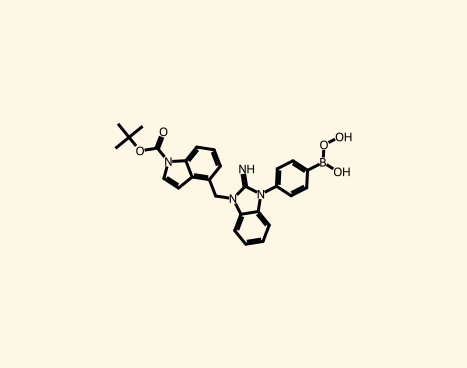 CC(C)(C)OC(=O)n1ccc2c(Cn3c(=N)n(-c4ccc(B(O)OO)cc4)c4ccccc43)cccc21